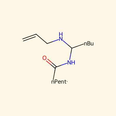 C=CCNC(CCCC)NC(=O)[CH]CCCC